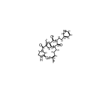 Cc1c(C(=O)N2CCNC(=O)C2)sc2c1c(=O)n(CCc1cccnc1)c(=O)n2CCC=C(F)F